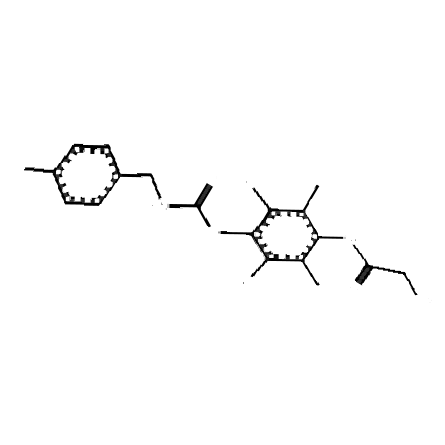 Cc1c(F)c(OC(=O)NCc2ccc(F)cc2)c(F)c(C)c1NC(=O)CC(C)(C)C